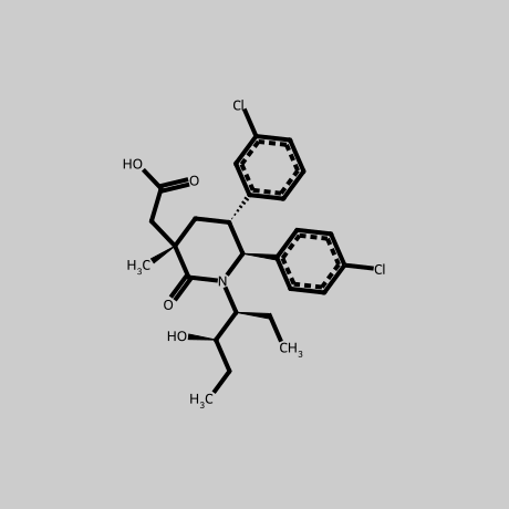 CC[C@@H](O)[C@H](CC)N1C(=O)[C@](C)(CC(=O)O)C[C@H](c2cccc(Cl)c2)[C@H]1c1ccc(Cl)cc1